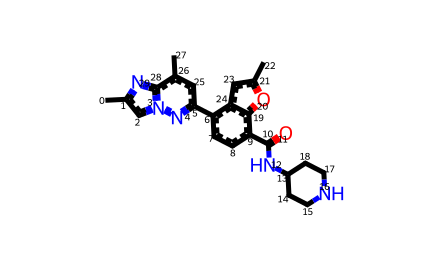 Cc1cn2nc(-c3ccc(C(=O)NC4CCNCC4)c4oc(C)cc34)cc(C)c2n1